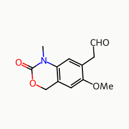 COc1cc2c(cc1CC=O)N(C)C(=O)OC2